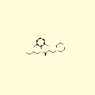 CCCCN(C(=O)CCN1CCNCC1)c1c(C)cccc1C